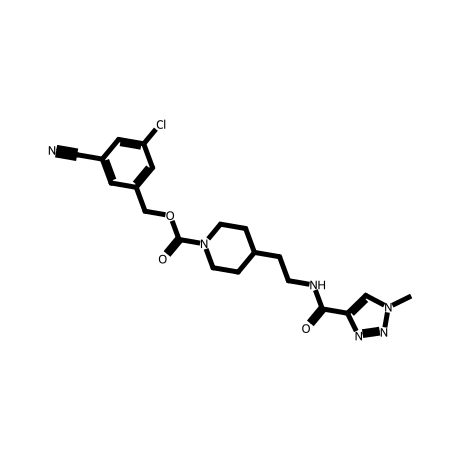 Cn1cc(C(=O)NCCC2CCN(C(=O)OCc3cc(Cl)cc(C#N)c3)CC2)nn1